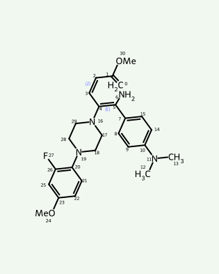 C=C(/C=C\C(=C(/N)c1ccc(N(C)C)cc1)N1CCN(c2ccc(OC)cc2F)CC1)OC